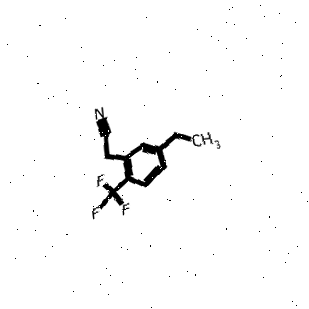 CCc1ccc(C(F)(F)F)c(CC#N)c1